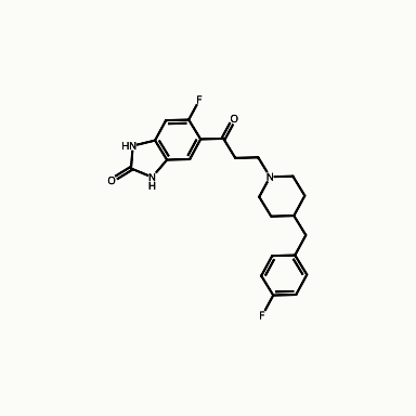 O=C(CCN1CCC(Cc2ccc(F)cc2)CC1)c1cc2[nH]c(=O)[nH]c2cc1F